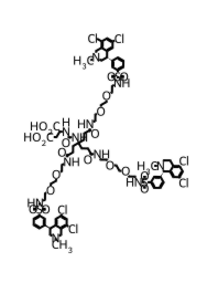 CN1Cc2c(Cl)cc(Cl)cc2[C@H](c2cccc(S(=O)(=O)NCCOCCOCCNC(=O)CCC(CCC(=O)NCCOCCOCCNS(=O)(=O)c3cccc([C@@H]4CN(C)Cc5c(Cl)cc(Cl)cc54)c3)(CCC(=O)NCCOCCOCCNS(=O)(=O)c3cccc([C@H]4c5cc(Cl)cc(Cl)c5CCN4C)c3)NC(=O)N[C@@H](CC(=O)O)C(=O)O)c2)C1